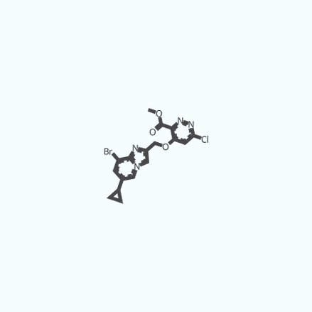 COC(=O)c1nnc(Cl)cc1OCc1cn2cc(C3CC3)cc(Br)c2n1